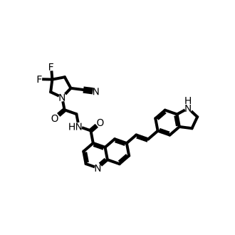 N#CC1CC(F)(F)CN1C(=O)CNC(=O)c1ccnc2ccc(C=Cc3ccc4c(c3)CCN4)cc12